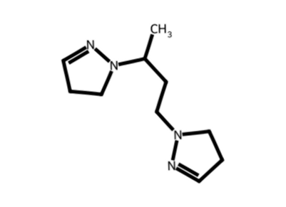 CC(CCN1CCC=N1)N1CCC=N1